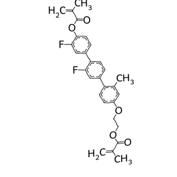 C=C(C)C(=O)OCCOc1ccc(-c2ccc(-c3ccc(OC(=O)C(=C)C)c(F)c3)c(F)c2)c(C)c1